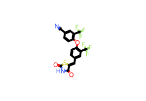 N#Cc1ccc(Oc2ccc(/C=C3\SC(=O)NC3=O)cc2C(F)(F)F)c(C(F)(F)F)c1